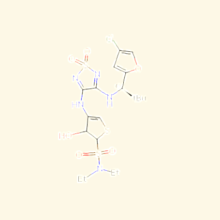 CCN(CC)S(=O)(=O)C1SC=C(NC2=NS(=O)(=O)N=C2N[C@@H](c2cc(Cl)co2)C(C)(C)C)C1O